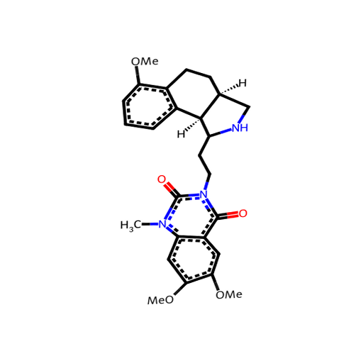 COc1cc2c(=O)n(CCC3NC[C@@H]4CCc5c(OC)cccc5[C@H]34)c(=O)n(C)c2cc1OC